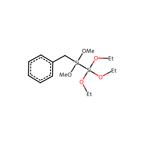 CCO[Si](OCC)(OCC)[Si](Cc1ccccc1)(OC)OC